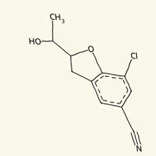 CC(O)C1Cc2cc(C#N)cc(Cl)c2O1